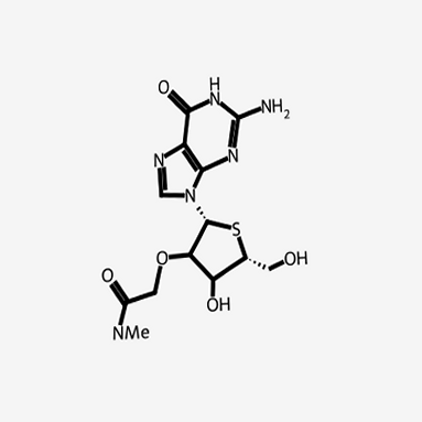 CNC(=O)COC1C(O)[C@@H](CO)S[C@H]1n1cnc2c(=O)[nH]c(N)nc21